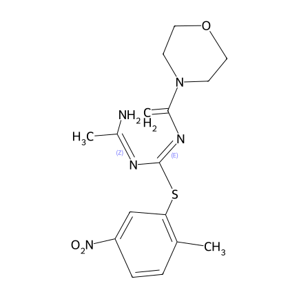 C=C(/N=C(\N=C(\C)N)Sc1cc([N+](=O)[O-])ccc1C)N1CCOCC1